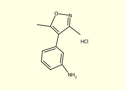 Cc1noc(C)c1-c1cccc(N)c1.Cl